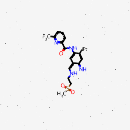 CC(C)C1=CC(=N)/C(=C\NCCS(C)(=O)=O)C=C1NC(=O)c1cccc(C(F)(F)F)n1